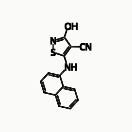 N#Cc1c(O)nsc1Nc1cccc2ccccc12